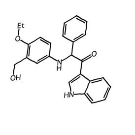 CCOc1ccc(NC(C(=O)c2c[nH]c3ccccc23)c2ccccc2)cc1CO